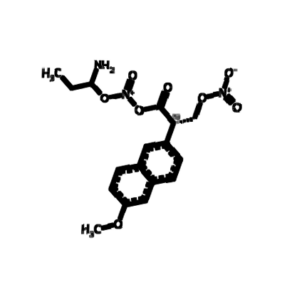 CCC(N)O[N+](=O)OC(=O)[C@H](CO[N+](=O)[O-])c1ccc2cc(OC)ccc2c1